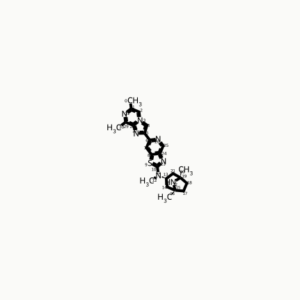 Cc1cn2cc(-c3cc4sc(N(C)[C@H]5C[C@]6(C)CC[C@](C)(C5)N6)nc4cn3)nc2c(C)n1